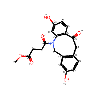 COC(=O)CCC(=O)N1Cc2cc(O)ccc2CC(=O)c2ccc(O)cc21